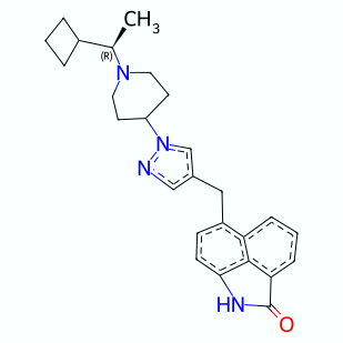 C[C@H](C1CCC1)N1CCC(n2cc(Cc3ccc4c5c(cccc35)C(=O)N4)cn2)CC1